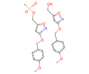 COc1ccc(COc2cc(CO)on2)cc1.COc1ccc(COc2cc(COS(C)(=O)=O)on2)cc1